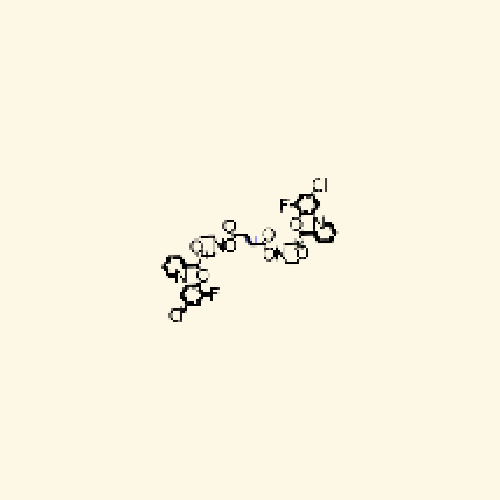 O=C(/C=C/C(=O)ON1CCO[C@H](C(Oc2ccc(Cl)cc2F)c2ccccn2)C1)ON1CCO[C@H](C(Oc2ccc(Cl)cc2F)c2ccccn2)C1